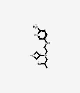 CC(O)CN(CCNc1ccc(N)nc1)C1COC1